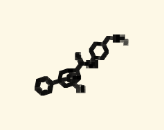 CCC12CC3CC(c4ccccc4)(CC1C3C(=S)NC1CCC(CN)CC1)C2